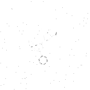 CC1(C)C[C@H](CCC(OS(C)(=O)=O)c2ccccc2)CN1C(=O)O